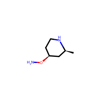 C[C@H]1C[C@@H](ON)CCN1